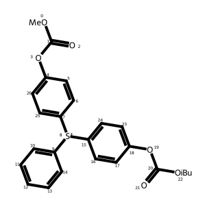 COC(=O)Oc1ccc([S+](c2ccccc2)c2ccc(OC(=O)OCC(C)C)cc2)cc1